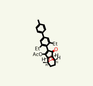 CCc1cc(-c2ccc(C)cc2)cc(CC)c1C1=C(OC(C)=O)[C@H]2[C@@H](C1=O)[C@@H]1CC[C@@]2(C)O1